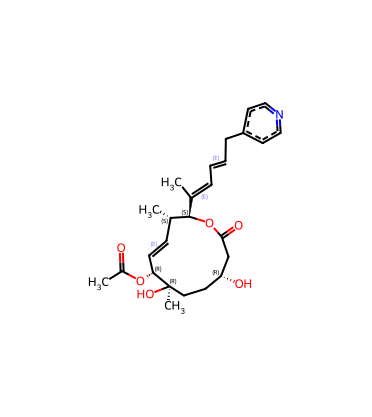 CC(=O)O[C@@H]1/C=C/[C@H](C)[C@@H](/C(C)=C/C=C/Cc2ccncc2)OC(=O)C[C@H](O)CC[C@@]1(C)O